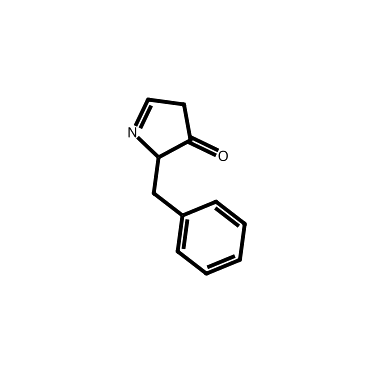 O=C1CC=NC1Cc1ccccc1